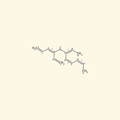 C=C/C=C(\C=C)SC(/C=C\C=C/C)=C/C